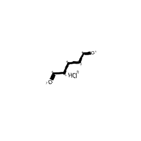 Cl.O=CCCCC=O